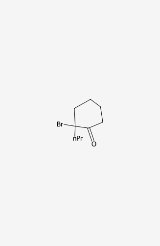 CCCC1(Br)CCCCC1=O